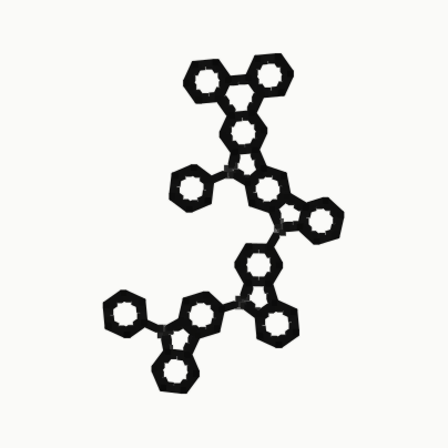 c1ccc(-n2c3ccccc3c3cc(-n4c5ccccc5c5cc(-n6c7ccccc7c7cc8c9cc%10c%11ccccc%11c%11ccccc%11c%10cc9n(-c9ccccc9)c8cc76)ccc54)ccc32)cc1